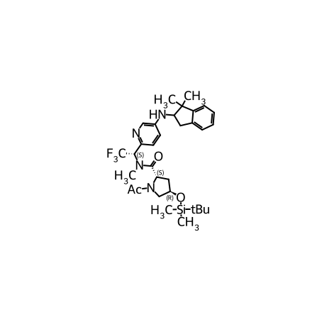 CC(=O)N1C[C@H](O[Si](C)(C)C(C)(C)C)C[C@H]1C(=O)N(C)[C@@H](c1ccc(NC2Cc3ccccc3C2(C)C)cn1)C(F)(F)F